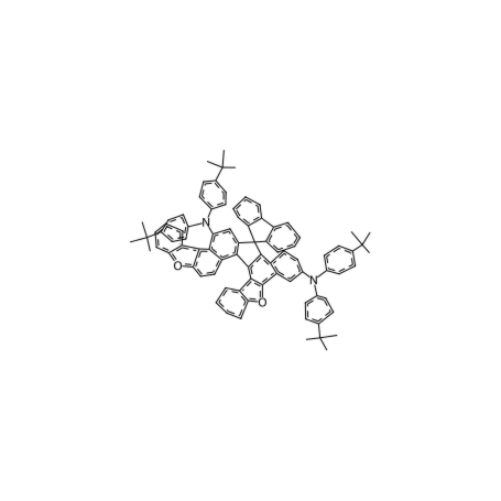 CC(C)(C)c1ccc(N(c2ccc(C(C)(C)C)cc2)c2ccc3c4c(c5c6ccccc6oc5c3c2)-c2c(cc(N(c3ccc(C(C)(C)C)cc3)c3ccc(C(C)(C)C)cc3)c3c2ccc2oc5ccccc5c23)C42c3ccccc3-c3ccccc32)cc1